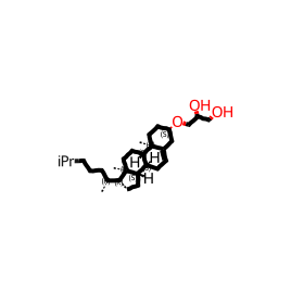 CC(C)CCC[C@@H](C)[C@H]1CC[C@H]2[C@@H]3CC=C4C[C@@H](OCC(O)CO)CC[C@]4(C)[C@H]3CC[C@]12C